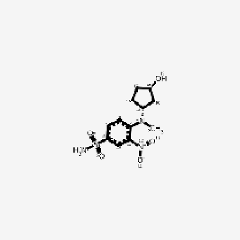 CN(c1ccc(S(N)(=O)=O)cc1[N+](=O)[O-])[C@@H]1CC[C@@H](O)C1